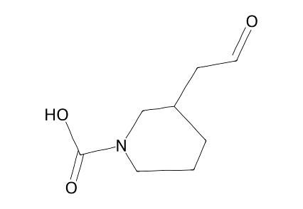 O=CCC1CCCN(C(=O)O)C1